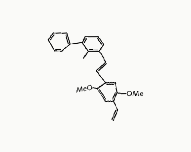 C=Cc1cc(OC)c(/C=C/c2cccc(-c3ccccc3)c2C)cc1OC